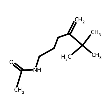 C=C(CCCNC(C)=O)C(C)(C)C